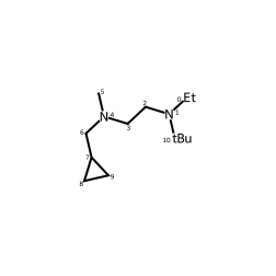 CCN(CCN(C)CC1CC1)C(C)(C)C